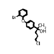 CC(O)(CCCCl)c1ccc(Oc2ccccc2Br)cc1